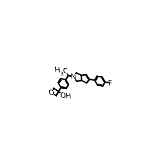 CC(c1ccc(C2(O)COC2)cc1)N1CC2C=C(c3ccc(F)cc3)CC2C1